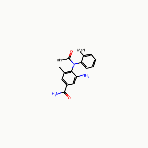 CCCC(=O)N(c1ccccc1NC)c1c(C)cc(C(N)=O)cc1N